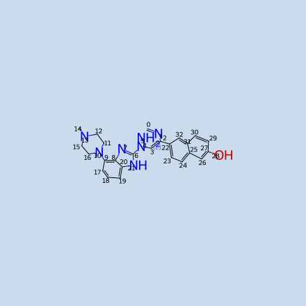 C=N/C(=C\N(N)c1nc2c(N3CCN(C)CC3)cccc2[nH]1)c1ccc2cc(O)ccc2c1